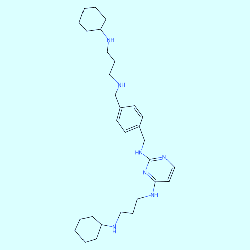 c1cc(NCCCNC2CCCCC2)nc(NCc2ccc(CNCCCNC3CCCCC3)cc2)n1